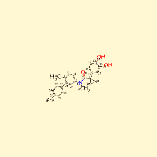 Cc1ccc(N(C)C(=O)C2(c3ccc(O)c(O)c3)CC2)cc1-c1ccc(C(C)C)cc1